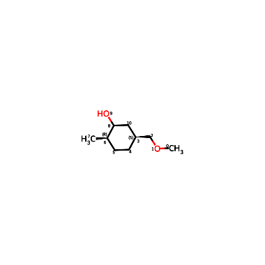 COC[C@H]1CC[C@@H](C)C(O)C1